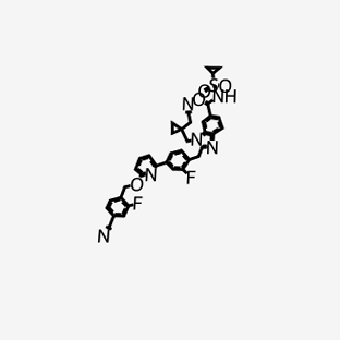 N#CCC1(Cn2c(Cc3ccc(-c4cccc(OCc5ccc(C#N)cc5F)n4)cc3F)nc3ccc(C(=O)NS(=O)(=O)C4CC4)cc32)CC1